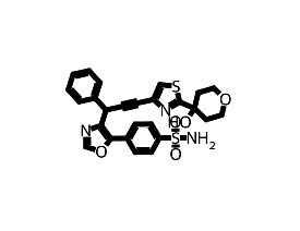 NS(=O)(=O)c1ccc(-c2ocnc2C(C#Cc2csc(C3(O)CCOCC3)n2)c2ccccc2)cc1